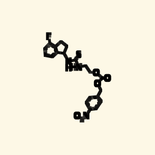 O=C(OCCNC(=S)NC1CCc2c(F)cccc21)OCc1ccc([N+](=O)[O-])cc1